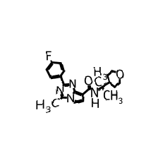 Cc1nc(-c2ccc(F)cc2)nc2c(C(=O)NC(C)(C)C3CCOCC3)ccn12